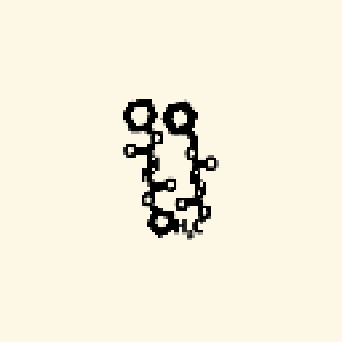 COC(=O)N=NC(=O)OCc1ccccc1.O=C(N=NC(=O)OC1CCCC1)OC1CCCCC1